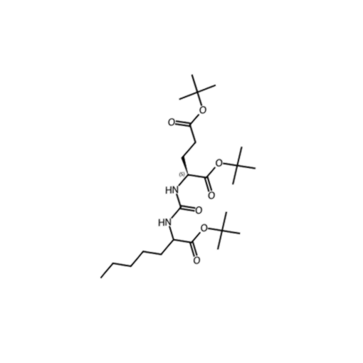 CCCCCC(NC(=O)N[C@@H](CCC(=O)OC(C)(C)C)C(=O)OC(C)(C)C)C(=O)OC(C)(C)C